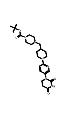 CC(C)(C)OC(=O)N1CCN(CC2CCN(c3ccc(N4CCC(=O)NC4=O)cn3)CC2)CC1